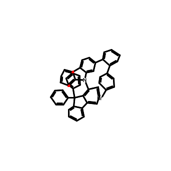 Brc1ccc(-c2ccccc2-c2ccc3c4ccccc4n(-c4cccc5c4C(c4ccccc4)(c4ccccc4)c4ccccc4-5)c3c2)cc1